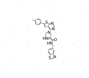 Cc1ccc(-c2cc3c(N4CCN[C@H](C(=O)NCc5ccc6scnc6c5)C4)ncnc3s2)cc1